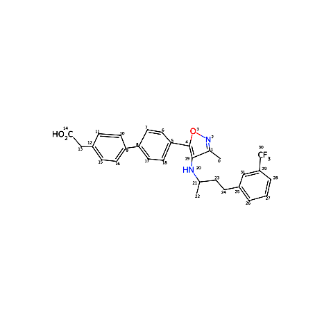 Cc1noc(-c2ccc(-c3ccc(CC(=O)O)cc3)cc2)c1NC(C)CCc1cccc(C(F)(F)F)c1